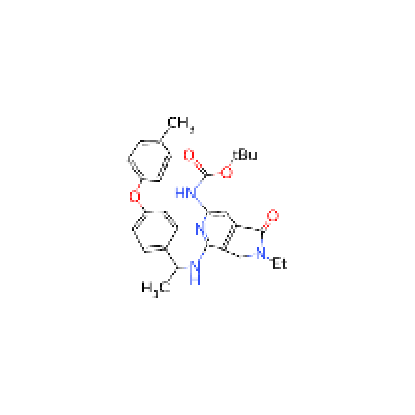 CCN1Cc2c(cc(NC(=O)OC(C)(C)C)nc2NC(C)c2ccc(Oc3ccc(C)cc3)cc2)C1=O